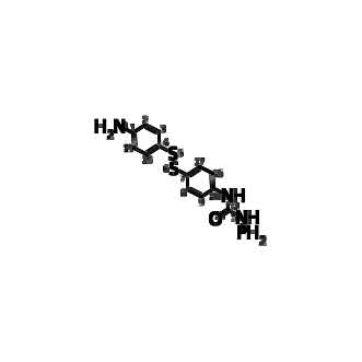 Nc1ccc(SSc2ccc(NC(=O)NP)cc2)cc1